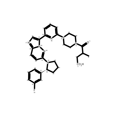 CC(CC(=O)O)C(=O)N1CCN(c2cccc(-c3cnc4ccc(N5CCC[C@@H]5c5cccc(F)c5)nn34)n2)CC1